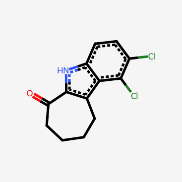 O=C1CCCCc2c1[nH]c1ccc(Cl)c(Cl)c21